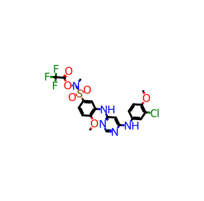 COc1ccc(Nc2cc(Nc3cc(S(=O)(=O)N(C)OC(=O)C(F)(F)F)ccc3OC)ncn2)cc1Cl